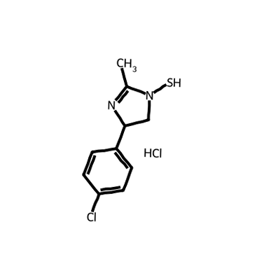 CC1=NC(c2ccc(Cl)cc2)CN1S.Cl